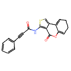 O=C(C#Cc1ccccc1)Nc1scc2c3c(oc(=O)c12)=CCCC=3